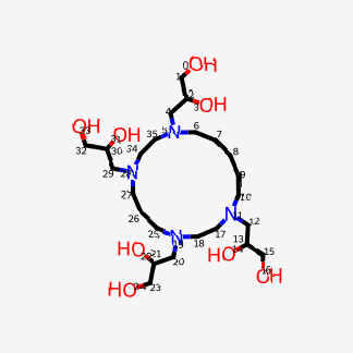 OCC(O)CN1CCCCCN(CC(O)CO)CCN(CC(O)CO)CCCN(CC(O)CO)CC1